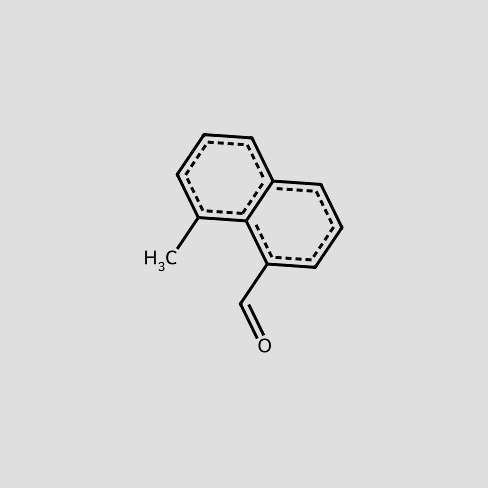 Cc1cccc2cccc(C=O)c12